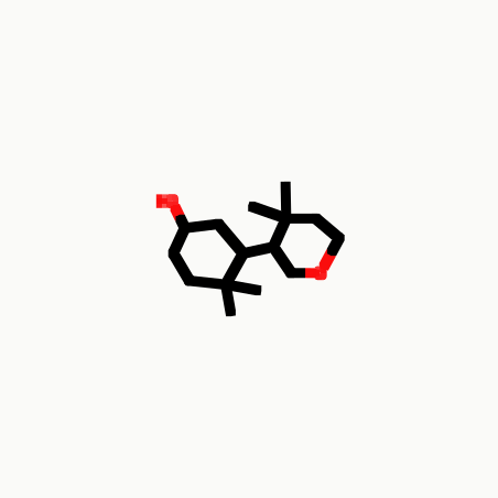 CC1(C)CCOCC1C1CC(O)CCC1(C)C